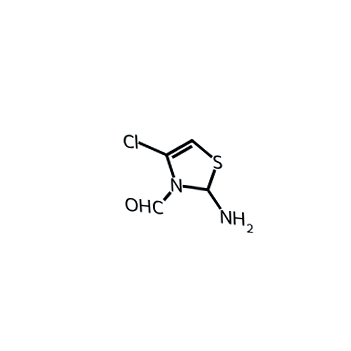 NC1SC=C(Cl)N1C=O